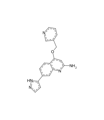 Nc1cc(OCc2cccnc2)c2ccc(-c3ccn[nH]3)cc2n1